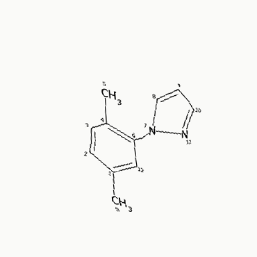 Cc1ccc(C)c(-n2cc[c]n2)c1